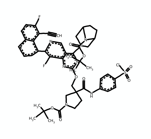 C#Cc1c(F)ccc2cccc(-c3ncc4c(N5CC6CCC(C5)N6C(=O)OC(C)(C)C)nc(OCC5(C(=O)Nc6ccc(S(=O)(=O)Cl)cc6)CCN(C(=O)OC(C)(C)C)C5)nc4c3F)c12